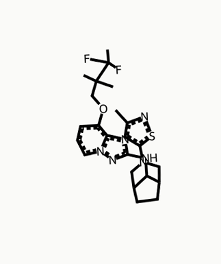 Cc1cc(N2CC3CCC(C2)C3Nc2nc3c(OCC(C)(C)C(C)(F)F)cccn3n2)sn1